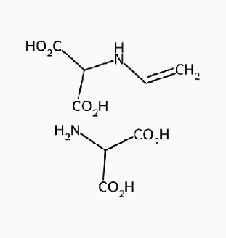 C=CNC(C(=O)O)C(=O)O.NC(C(=O)O)C(=O)O